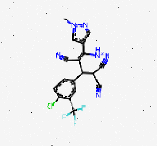 Cn1cc(/C(N)=C(\C#N)C(c2ccc(Cl)c(C(F)(F)F)c2)C(C#N)C#N)cn1